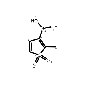 CC1=C(B(O)O)C=CS1(=O)=O